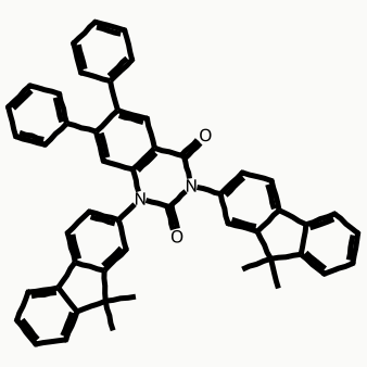 CC1(C)c2ccccc2-c2ccc(-n3c(=O)c4cc(-c5ccccc5)c(-c5ccccc5)cc4n(-c4ccc5c(c4)C(C)(C)c4ccccc4-5)c3=O)cc21